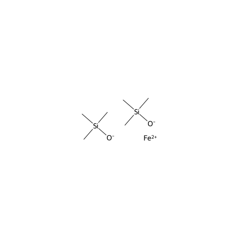 C[Si](C)(C)[O-].C[Si](C)(C)[O-].[Fe+2]